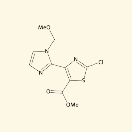 COCn1ccnc1-c1nc(Cl)sc1C(=O)OC